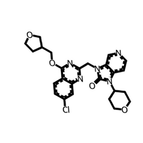 O=c1n(Cc2nc(OCC3CCOC3)c3ccc(Cl)cc3n2)c2cnccc2n1C1CCOCC1